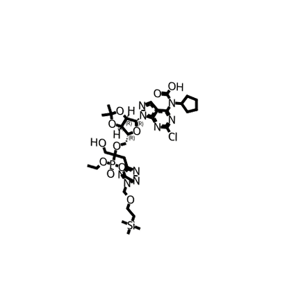 CCOP(=O)(OCC)C(CO)(Cc1nnn(COCC[Si](C)(C)C)n1)OC[C@H]1O[C@@H](n2ncc3c(N(C(=O)O)C4CCCC4)nc(Cl)nc32)[C@@H]2OC(C)(C)O[C@@H]21